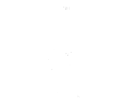 Brc1ccc2sc(C3CC4CNCC43)nc2c1